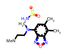 CNCCN(C)c1cc(C)c(C)c2nonc12.N[SH](=O)=O